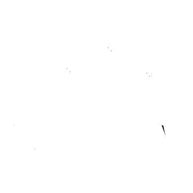 Cc1cccc(C(=N)/C(=C\CCC[C@H]2CCOC2)c2ccnc(-c3ccc(S(C)(=O)=O)cc3)c2)n1